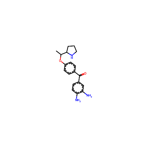 CC(Oc1ccc(C(=O)c2ccc(N)c(N)c2)cc1)C1CCCN1